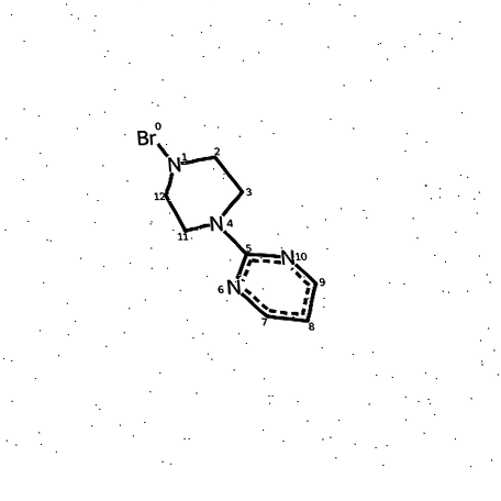 BrN1CCN(c2ncccn2)CC1